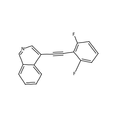 Fc1cccc(F)c1C#Cc1cncc2ccccc12